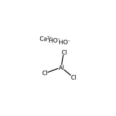 [Ca+2].[Cl][Al]([Cl])[Cl].[OH-].[OH-]